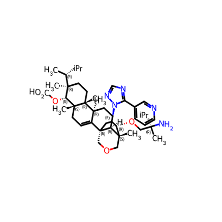 CC(C)[C@@H](C)[C@@]1(C)CC[C@]2(C)[C@H]3CC[C@@H]4[C@@]5(COC[C@@]4(C)[C@@H](OC[C@](C)(N)C(C)C)[C@H](n4ncnc4-c4cccnc4)C5)C3=CC[C@]2(C)[C@@H]1OC(=O)O